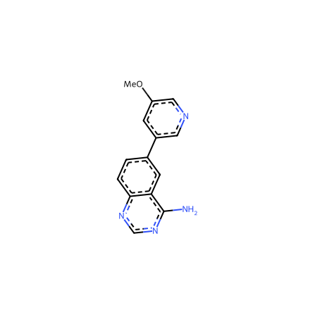 COc1cncc(-c2ccc3ncnc(N)c3c2)c1